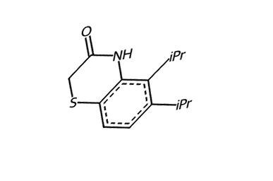 CC(C)c1ccc2c(c1C(C)C)NC(=O)CS2